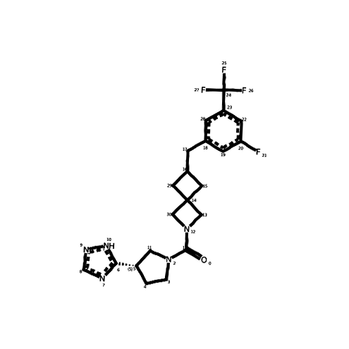 O=C(N1CC[C@H](c2ncn[nH]2)C1)N1CC2(CC(Cc3cc(F)cc(C(F)(F)F)c3)C2)C1